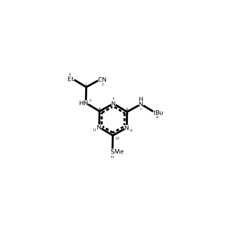 CCC(C#N)Nc1nc(NC(C)(C)C)nc(SC)n1